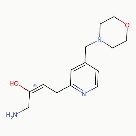 NC/C(O)=C\Cc1cc(CN2CCOCC2)ccn1